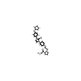 NC(=O)[C@@H]1CCCN1CCOc1ccc(-n2ccn(-c3ccc(OC4CCCC4)cc3)c2=O)cc1